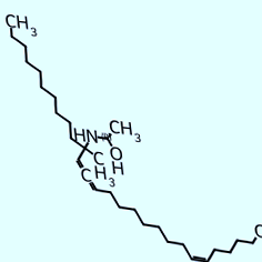 CCCCC/C=C\CCCCCCCC=C=CC(C)(CCCCCCCCCC)N[C@@H](C)O